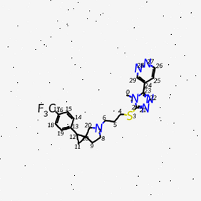 Cn1c(SCCCN2CCC3(CC3c3ccc(C(F)(F)F)cc3)C2)nnc1-c1ccnnc1